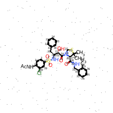 CC(=O)Nc1ccc(S(=O)(=O)N[C@@H](Cc2ccccc2)[C@H](O)C(=O)N2CSC(C)(C)[C@H]2C(=O)NCc2ccccc2C)cc1Cl